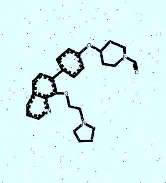 O=CN1CCC(Oc2ccc(-c3ccc4cccnc4c3OCCN3CCCC3)cc2)CC1